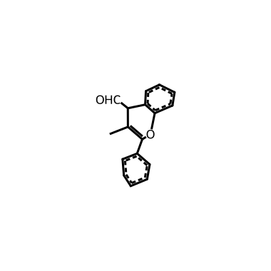 CC1=C(c2ccccc2)Oc2ccccc2C1C=O